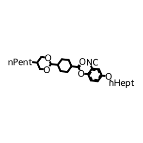 CCCCCCCOc1ccc(OC(=O)C2CCC(C3OCC(CCCCC)CO3)CC2)c(C#N)c1